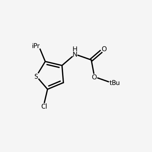 CC(C)c1sc(Cl)cc1NC(=O)OC(C)(C)C